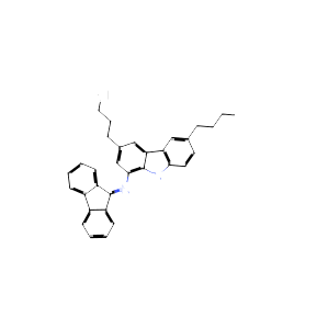 CCCCc1ccc2[nH]c3c(N=C4c5ccccc5-c5ccccc54)cc(CCCC)cc3c2c1